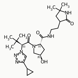 CC1(C)CC(CCNC(=O)[C@@H]2C[C@@H](O)CN2C(=O)[C@@H](n2cc(C3CC3)nn2)C(C)(C)C)C(=O)N1